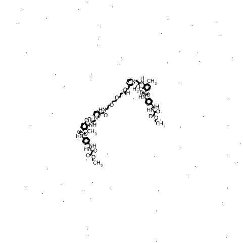 CCOC(=O)C(=O)NNc1ccc(NS(=O)(=O)c2ccc(C)c(NC(=O)C[n+]3cccc(CONCCOCCOCCNC(=O)c4ccc[n+](CC(=O)Nc5c(C)ccc(S(=O)(=O)Nc6ccc(NNC(=O)C(=O)OCC)cc6)c5C)c4)c3)c2C)cc1